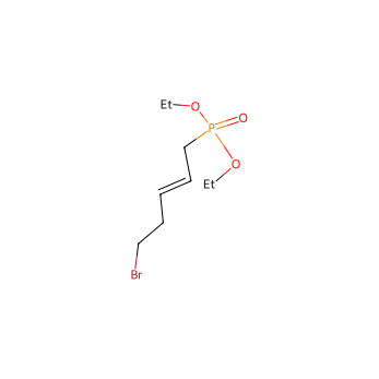 CCOP(=O)(CC=CCCBr)OCC